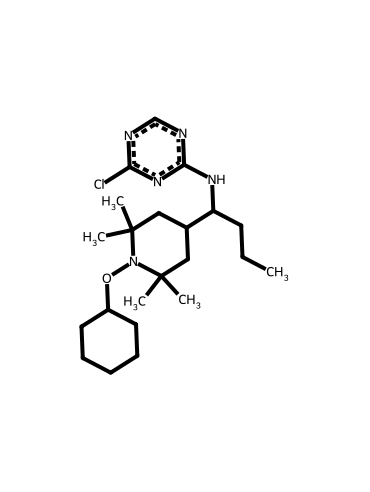 CCCC(Nc1ncnc(Cl)n1)C1CC(C)(C)N(OC2CCCCC2)C(C)(C)C1